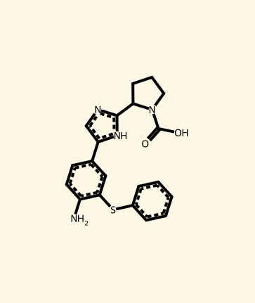 Nc1ccc(-c2cnc(C3CCCN3C(=O)O)[nH]2)cc1Sc1ccccc1